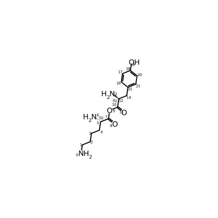 NCCCC[C@H](N)C(=O)OC(=O)[C@@H](N)Cc1ccc(O)cc1